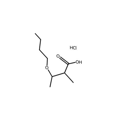 CCCCOC(C)C(C)C(=O)O.Cl